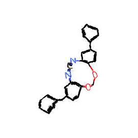 C1=Nc2cc(-c3ccccc3)ccc2OCOc2ccc(-c3ccccc3)cc2N=1